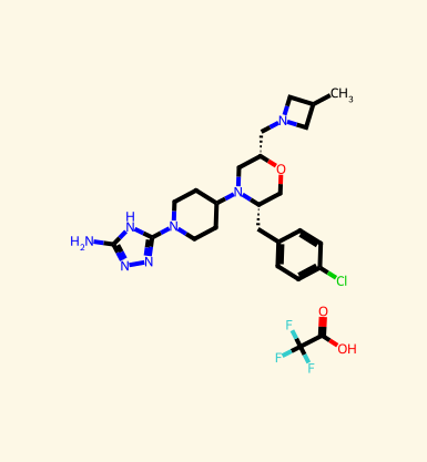 CC1CN(C[C@H]2CN(C3CCN(c4nnc(N)[nH]4)CC3)[C@@H](Cc3ccc(Cl)cc3)CO2)C1.O=C(O)C(F)(F)F